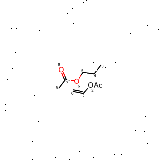 C=COC(C)=O.CCCOC(C)=O